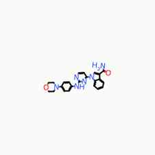 NC(=O)c1cn(-c2ccnc(Nc3ccc(N4CCOCC4)cc3)n2)c2ccccc12